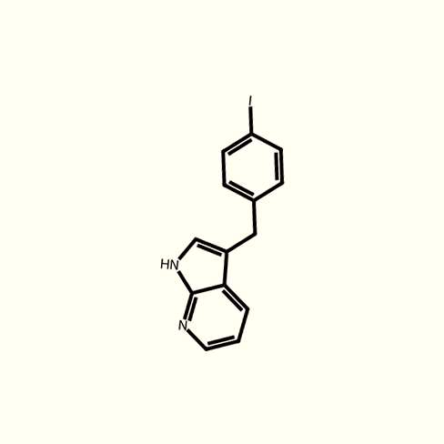 Ic1ccc(Cc2c[nH]c3ncccc23)cc1